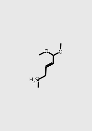 COC(C=CC[SiH2]C)OC